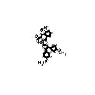 COc1ccc(-c2nc(NN3Cc4cccc([N+](=O)[O-])c4CC3C(=O)O)sc2-c2ccc(OC)cc2)cc1